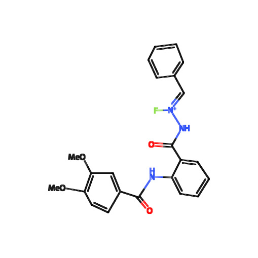 COc1ccc(C(=O)Nc2ccccc2C(=O)N[N+](F)=Cc2ccccc2)cc1OC